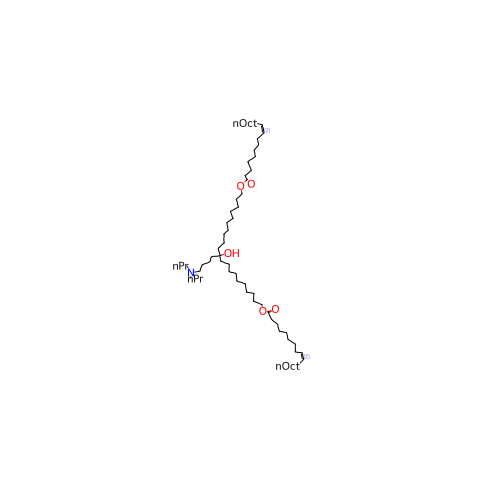 CCCCCCCC/C=C\CCCCCCCC(=O)OCCCCCCCCCCC(O)(CCCCCCCCCCOC(=O)CCCCCCC/C=C\CCCCCCCC)CCCCN(CCC)CCC